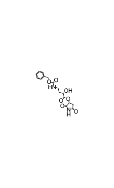 O=C1C[C@H](OC(=O)C(O)CCNC(=O)OCc2ccccc2)C(=O)N1